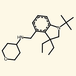 CCC1(CC)CN(C(C)(C)C)c2cccc(CNC3CCOCC3)c21